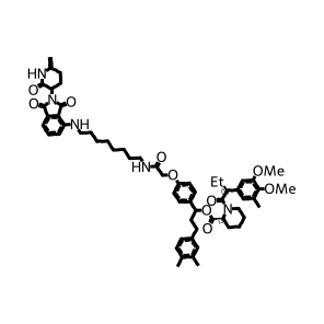 C=C1CCC(N2C(=O)c3cccc(NCCCCCCCCNC(=O)COc4ccc(C(CCc5ccc(C)c(C)c5)OC(=O)[C@@H]5CCCCN5C(=O)[C@@H](CC)c5cc(C)c(OC)c(OC)c5)cc4)c3C2=O)C(=O)N1